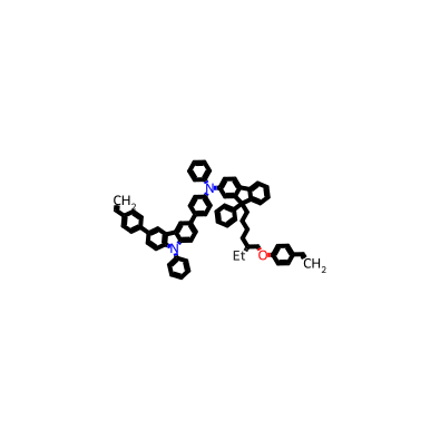 C=Cc1ccc(OCC(CC)CCCCC2(c3ccccc3)c3ccccc3-c3ccc(N(c4ccccc4)c4ccc(-c5ccc6c(c5)c5cc(-c7ccc(C=C)cc7)ccc5n6-c5ccccc5)cc4)cc32)cc1